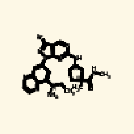 CC[C@@H](N)c1cc(-n2nc(Br)c3cnc(N[C@@H]4CC[C@@](C)(C(=O)NC)C4)nc32)cc2nccnc12